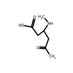 CNC(CC(C)=O)CC(=O)O